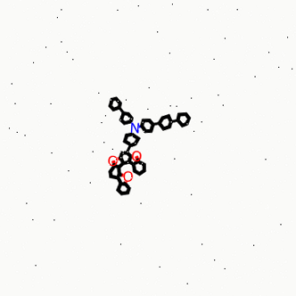 c1ccc(-c2ccc(-c3ccc(N(c4ccc(-c5ccccc5)cc4)c4ccc(-c5cc6oc7ccc8c9ccccc9oc8c7c6c6c5oc5ccccc56)cc4)cc3)cc2)cc1